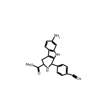 C#Cc1ccc(C2NC(C(=O)OC)Cc3c2[nH]c2cc(N)ccc32)cc1